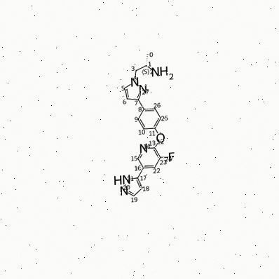 C[C@H](N)Cn1ccc(-c2ccc(Oc3ncc(-c4ccn[nH]4)cc3F)cc2)n1